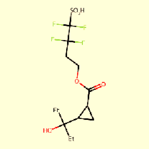 CCC(O)(CC)C1CC1C(=O)OCCC(F)(F)C(F)(F)S(=O)(=O)O